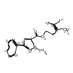 CC(CCOC(=O)c1cc(-c2ccccc2)nn1C)=C(F)F